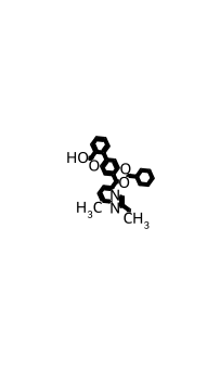 CCc1cn2c(C(OC(=O)C3CCCCC3)c3ccc(-c4ccccc4C(=O)O)cc3)ccc(C)c2n1